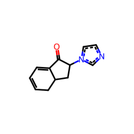 O=C1C2=CC=CCC2CC1n1ccnc1